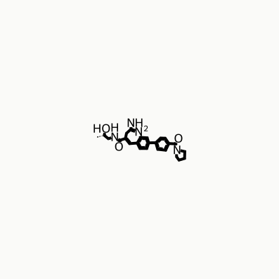 C[C@H](O)CNC(=O)C1=Cc2ccc(-c3ccc(C(=O)N4CCCC4)cc3)cc2N=C(N)C1